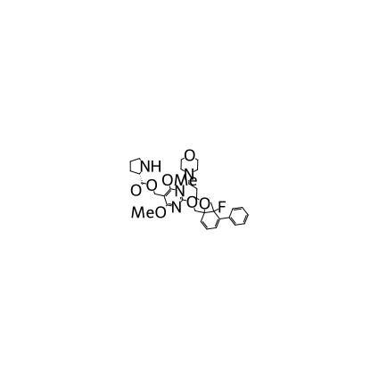 COc1nc(OCC2(OCCCN3CCOCC3)C=CC=C(c3ccccc3)C2(C)F)nc(OC)c1COC(=O)[C@@H]1CCCN1